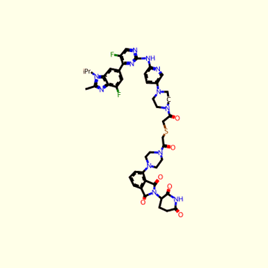 Cc1nc2c(F)cc(-c3nc(Nc4ccc(N5CCN(C(=O)CSCC(=O)N6CCN(c7cccc8c7C(=O)N(C7CCC(=O)NC7=O)C8=O)CC6)CC5)cn4)ncc3F)cc2n1C(C)C